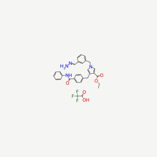 CCOC(=O)c1cn(Cc2cccc(C=NN)c2)cc1Cc1ccc(C(=O)Nc2ccccc2)cc1.O=C(O)C(F)(F)F